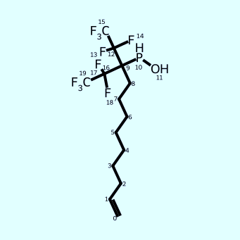 C=CCCCCCCCC(PO)(C(F)(F)C(F)(F)F)C(F)(F)C(F)(F)F